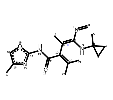 C=N/C(NC1(C)CC1)=C(\C)C(C(=O)Nc1nc(C)co1)=C(C)C